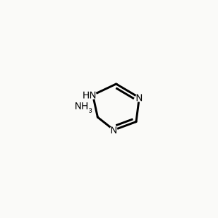 C1=NC=NCN1.N